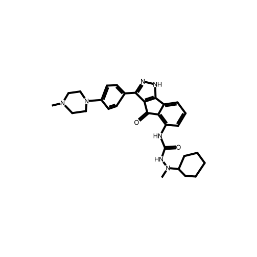 CN1CCN(c2ccc(-c3n[nH]c4c3C(=O)c3c(NC(=O)NN(C)C5CCCCC5)cccc3-4)cc2)CC1